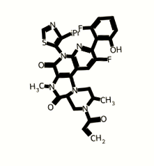 C=CC(=O)N1CC2C(=O)N(C)c3c(c4cc(F)c(-c5c(O)cccc5F)nc4n(-c4scnc4C(C)C)c3=O)N2CC1C